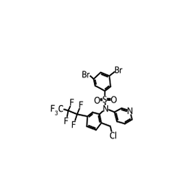 O=S(=O)(c1cc(Br)cc(Br)c1)N(c1cccnc1)c1cc(C(F)(F)C(F)(F)C(F)(F)F)ccc1CCl